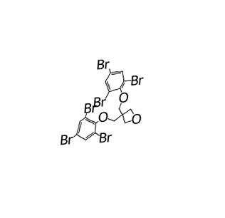 Brc1cc(Br)c(OCC2(COc3c(Br)cc(Br)cc3Br)COC2)c(Br)c1